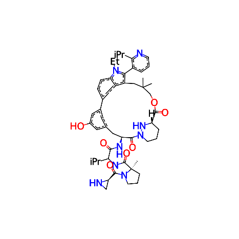 CCn1c(-c2cccnc2C(C)C)c2c3cc(ccc31)-c1cc(O)cc(c1)C[C@H](NC(=O)C(C(C)C)N(C)C(=O)[C@@]1(C)CCCN1C(=O)[C@H]1CN1)C(=O)N1CCC[C@H](N1)C(=O)OCC(C)(C)C2